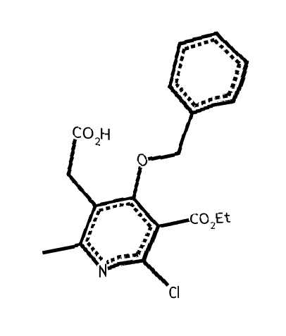 CCOC(=O)c1c(Cl)nc(C)c(CC(=O)O)c1OCc1ccccc1